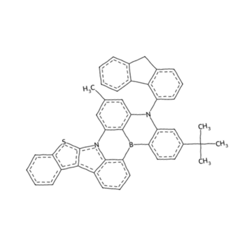 Cc1cc2c3c(c1)-n1c4sc5ccccc5c4c4cccc(c41)B3c1ccc(C(C)(C)C)cc1N2c1cccc2c1-c1ccccc1C2